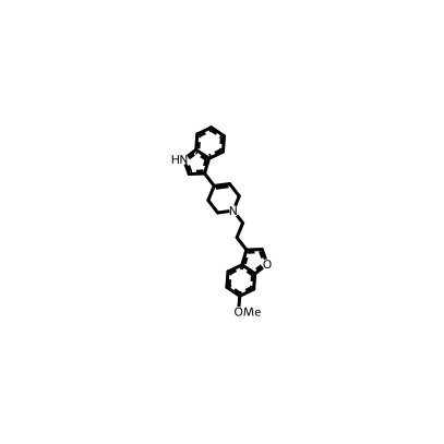 COc1ccc2c(CCN3CC=C(c4c[nH]c5ccccc45)CC3)coc2c1